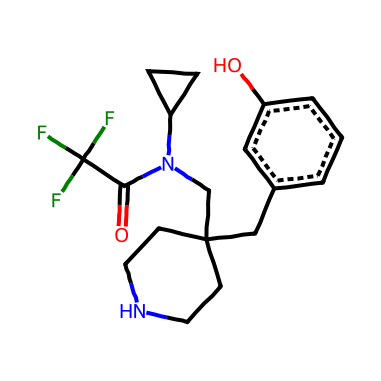 O=C(N(CC1(Cc2cccc(O)c2)CCNCC1)C1CC1)C(F)(F)F